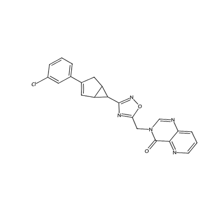 O=c1c2ncccc2ncn1Cc1nc(C2C3C=C(c4cccc(Cl)c4)CC32)no1